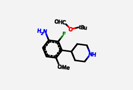 CC(C)(C)OC=O.COc1ccc(N)c(F)c1C1CCNCC1